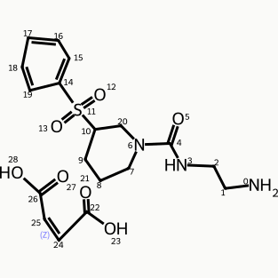 NCCNC(=O)N1CCCC(S(=O)(=O)c2ccccc2)C1.O=C(O)/C=C\C(=O)O